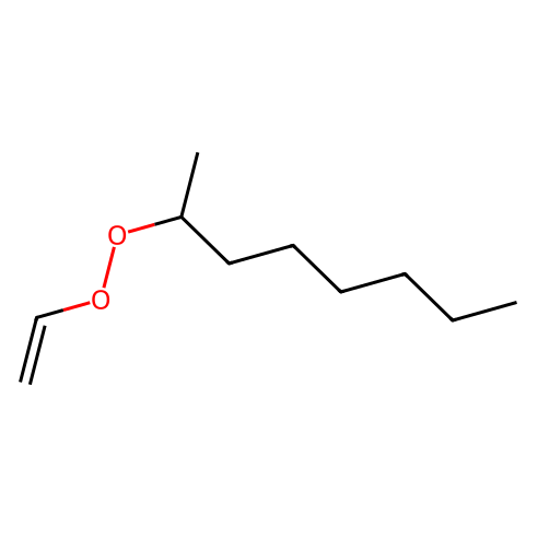 C=COOC(C)CCCCCC